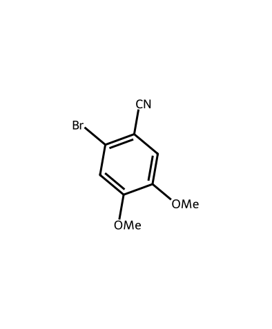 COc1cc(Br)c(C#N)cc1OC